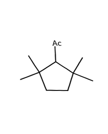 CC(=O)C1C(C)(C)CCC1(C)C